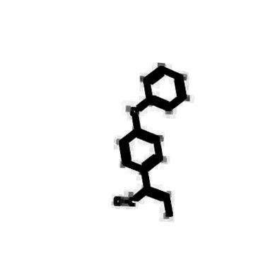 CC=C(C=O)c1ccc(Oc2ccccc2)cc1